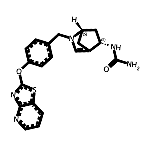 NC(=O)N[C@H]1C[C@@H]2CC1=CN2Cc1ccc(Oc2nc3ncccc3s2)cc1